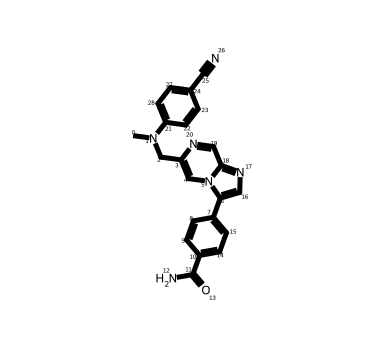 CN(Cc1cn2c(-c3ccc(C(N)=O)cc3)cnc2cn1)c1ccc(C#N)cc1